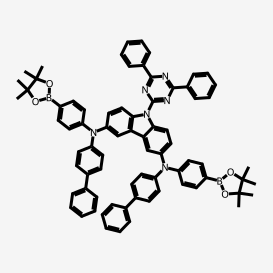 CC1(C)OB(c2ccc(N(c3ccc(-c4ccccc4)cc3)c3ccc4c(c3)c3cc(N(c5ccc(B6OC(C)(C)C(C)(C)O6)cc5)c5ccc(-c6ccccc6)cc5)ccc3n4-c3nc(-c4ccccc4)nc(-c4ccccc4)n3)cc2)OC1(C)C